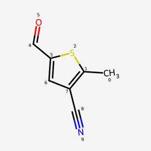 Cc1sc(C=O)cc1C#N